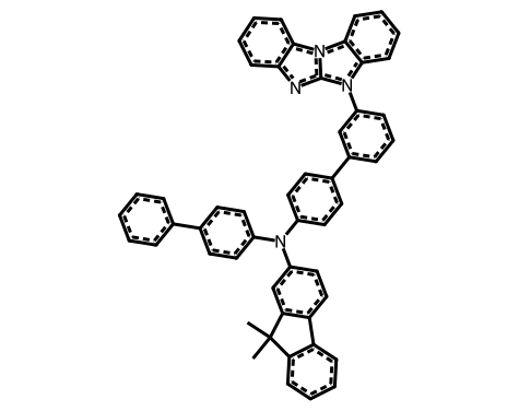 CC1(C)c2ccccc2-c2ccc(N(c3ccc(-c4ccccc4)cc3)c3ccc(-c4cccc(-n5c6ccccc6n6c7ccccc7nc56)c4)cc3)cc21